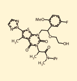 COc1ccc(F)cc1C(Cn1c(=O)n(C(C)C(=O)N(C)C(C)C)c(=O)c2c(C)c(-n3nccn3)sc21)OCCO